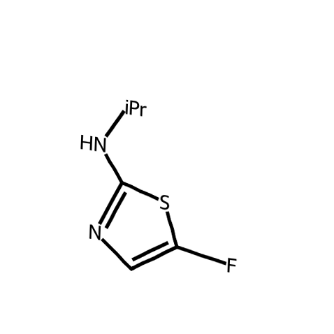 CC(C)Nc1ncc(F)s1